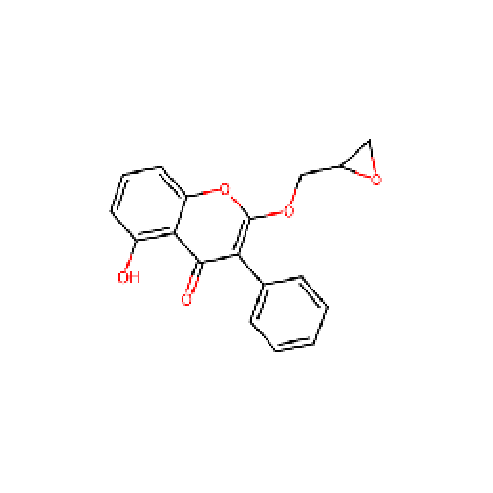 O=c1c(-c2ccccc2)c(OCC2CO2)oc2cccc(O)c12